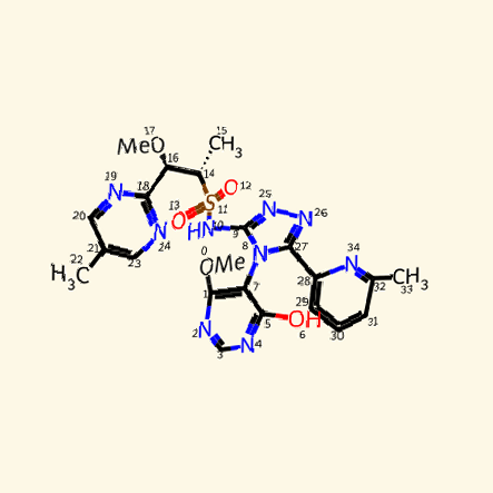 COc1ncnc(O)c1-n1c(NS(=O)(=O)[C@@H](C)[C@H](OC)c2ncc(C)cn2)nnc1C1=C=C=CC(C)=N1